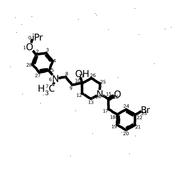 CC(C)Oc1ccc(N(C)CCC2(O)CCN(C(=O)Cc3cccc(Br)c3)CC2)cc1